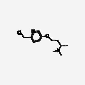 CC(CCOc1ccc(CCl)nc1)N(C)C